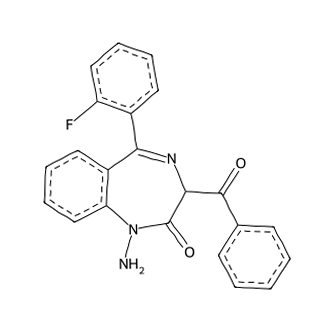 NN1C(=O)C(C(=O)c2ccccc2)N=C(c2ccccc2F)c2ccccc21